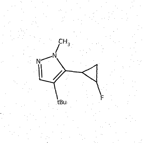 Cn1ncc(C(C)(C)C)c1C1CC1F